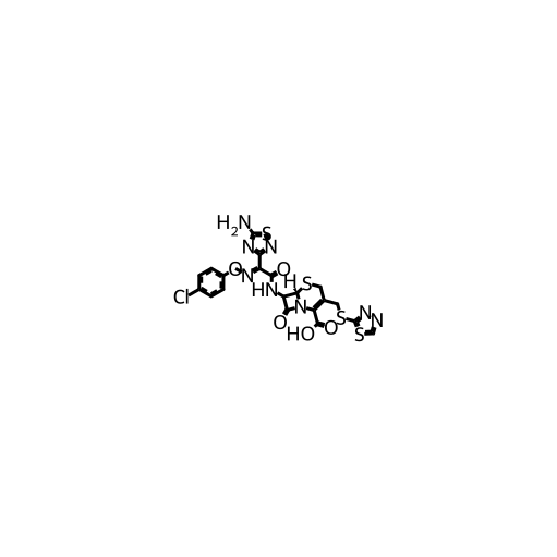 Nc1nc(C(=NOc2ccc(Cl)cc2)C(=O)NC2C(=O)N3C(C(=O)O)=C(CSc4nncs4)CS[C@@H]23)ns1